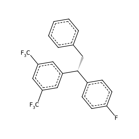 Fc1ccc([C@@H](Cc2ccccc2)c2cc(C(F)(F)F)cc(C(F)(F)F)c2)cc1